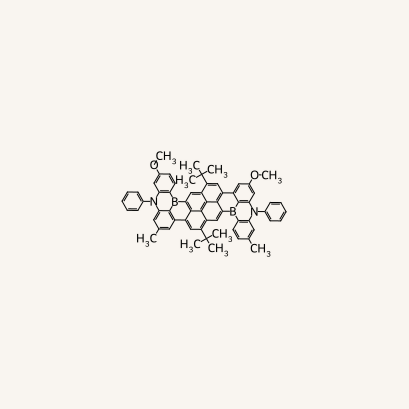 COc1ccc2c(c1)N(c1ccccc1)c1cc(C)cc3c1B2c1cc2c(C(C)(C)C)cc4c5c(cc6c(C(C)(C)C)cc-3c1c6c25)B1c2ccc(C)cc2N(c2ccccc2)c2cc(OC)cc-4c21